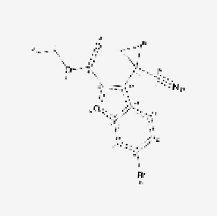 CCOC(=O)c1oc2cc(Br)ccc2c1C1(C#N)CC1